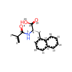 C=C(C)C(=O)N[C@@H](Cc1cccc2ccccc12)C(=O)O